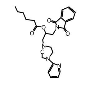 CCCCCC(=O)OC(CN1CCN(c2ccccn2)CC1)CN1C(=O)c2ccccc2C1=O